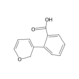 O=C(O)c1ccccc1C1=CC=COC1